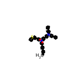 C=Cc1ccc(-c2ccc(-c3ccc(N(c4ccc(-c5ccc(N(c6ccc(-c7ccccc7)cc6)c6ccc(-c7ccccc7)cc6)cc5)cc4)c4ccc(-c5ccc6sc7ccccc7c6c5)cc4)cc3)cc2)cc1